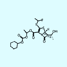 CC(OC(=O)OC1CCCCC1)OC(=O)C1=C(SC(C)F)S[C@@H]2[C@@H]([C@@H](C)O)C(=O)N12